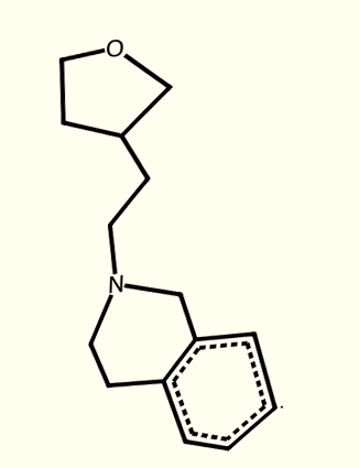 [c]1ccc2c(c1)CN(CCC1CCOC1)CC2